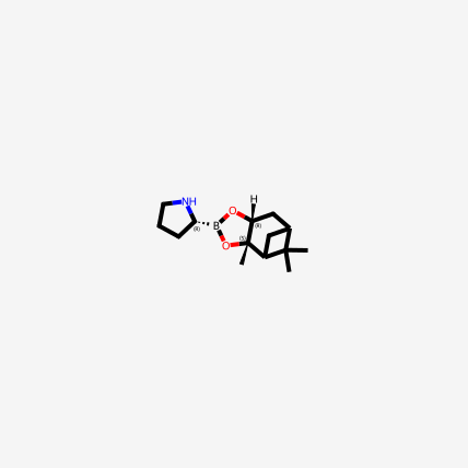 CC1(C)C2CC1[C@]1(C)OB([C@@H]3CCCN3)O[C@@H]1C2